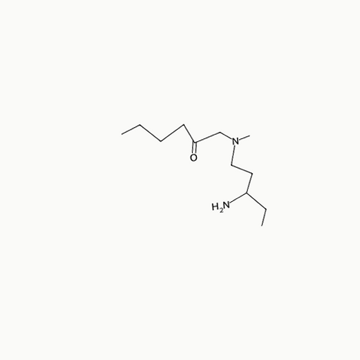 CCCCC(=O)CN(C)CCC(N)CC